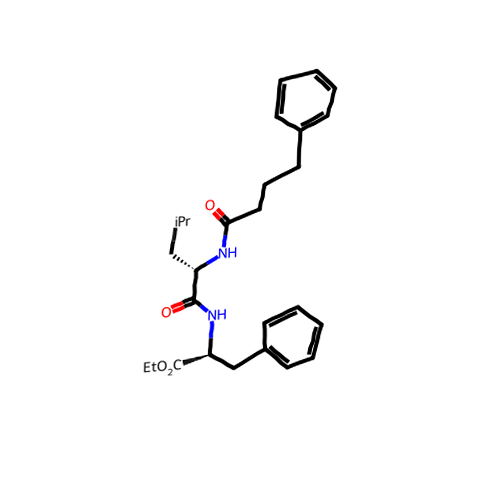 CCOC(=O)[C@H](Cc1ccccc1)NC(=O)[C@H](CC(C)C)NC(=O)CCCc1ccccc1